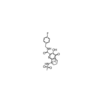 CS(=O)(=O)NC12CCC(CC1)n1c2nc(C(=O)NCc2ccc(F)cc2)c(O)c1=O